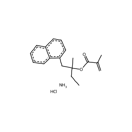 C=C(C)C(=O)OC(C)(CC)Cc1cccc2ccccc12.Cl.N